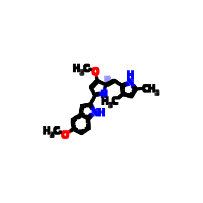 COC1=CC(c2cc3cc(OC)ccc3[nH]2)=N/C1=C\c1[nH]c(C)cc1C